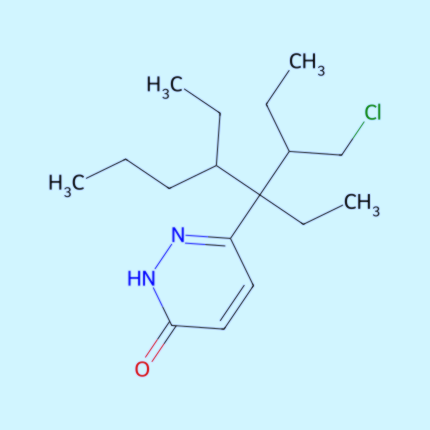 CCCC(CC)C(CC)(c1ccc(=O)[nH]n1)C(CC)CCl